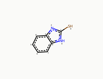 Sc1nc2[c]cccc2[nH]1